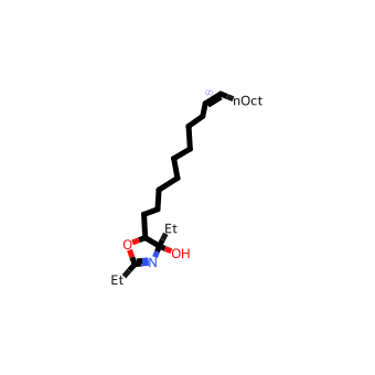 CCCCCCCC/C=C\CCCCCCCCC1OC(CC)=NC1(O)CC